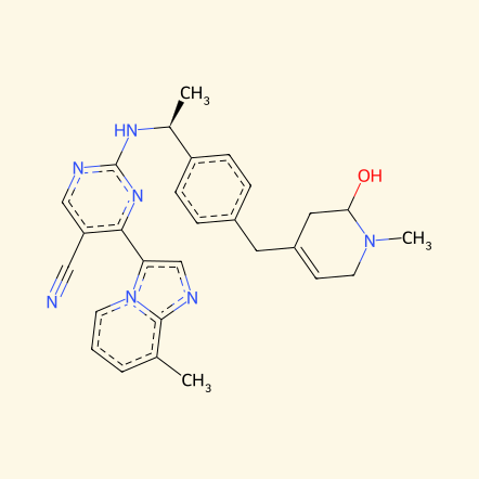 Cc1cccn2c(-c3nc(N[C@@H](C)c4ccc(CC5=CCN(C)C(O)C5)cc4)ncc3C#N)cnc12